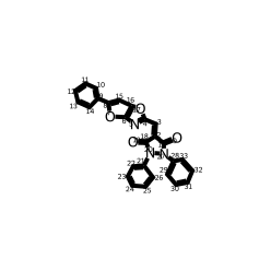 O=C1C(=Cc2nc3oc(-c4ccccc4)cc3o2)C(=O)N(c2ccccc2)N1c1ccccc1